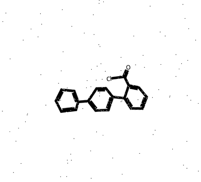 O=C(Cl)c1ccccc1-c1ccc(-c2ccccc2)cc1